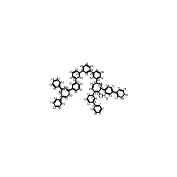 CC1=C(C2C=C(c3ccccc3)C=CC2)C=CC(c2cccc(-c3cccc(C4C=CC=C(c5cccc(C6=NC(c7ccccc7)=NC(c7ccccc7)=CC6)c5)C4)c3)c2)N=C1c1ccc(C2=CCCC=C2)cc1